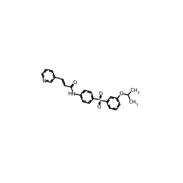 CC(C)Oc1cccc(S(=O)(=O)c2ccc(NC(=O)/C=C/c3cccnc3)cc2)c1